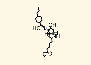 CCCC1CCC([C@@H](O)/C=C/[C@H]2C(O)C[C@@H]3NC(CCCCC(=O)OC)C[C@@H]32)CC1